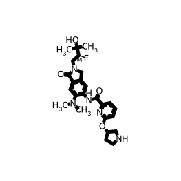 CN(C)c1cc2c(cc1NC(=O)c1cccc(OC3CCNC3)n1)CN(C[C@@H](F)C(C)(C)O)C2=O